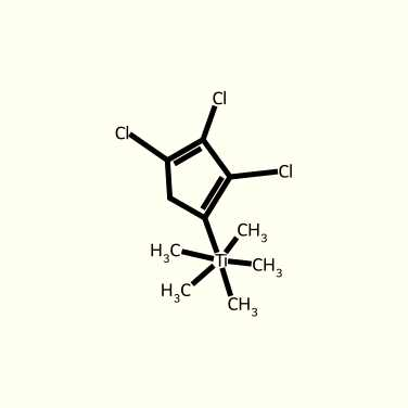 [CH3][Ti]([CH3])([CH3])([CH3])([CH3])[C]1=C(Cl)C(Cl)=C(Cl)C1